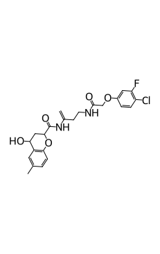 C=C(CCNC(=O)COc1ccc(Cl)c(F)c1)NC(=O)C1CC(O)c2cc(C)ccc2O1